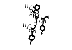 Cc1cccc(COCCCOCc2nc(-c3ccc(F)cc3)oc2C)c1C(=O)O.Cc1oc(-c2ccc(F)cc2)nc1CI